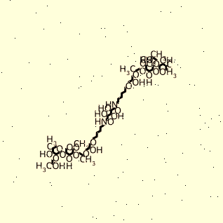 COC1OCC(OC2OC[C@@H](C)C(O)C2OCC(C)O)C(O)C1OCC(C)OCC(O)COCCCCCCNC(=O)C(O)C(O)C(O)C(=O)NCCCCCCOCC(O)COC(C)COC1C(OC)OCC(OC2OC[C@H](C)C(O)C2OCC(C)O)C1O